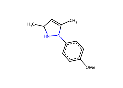 COc1ccc(N2NC(C)C=C2C)cc1